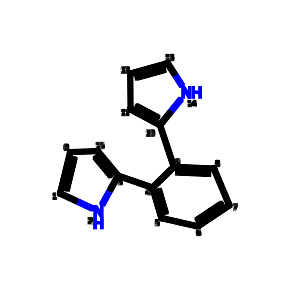 c1c[nH]c(-c2ccccc2-c2ccc[nH]2)c1